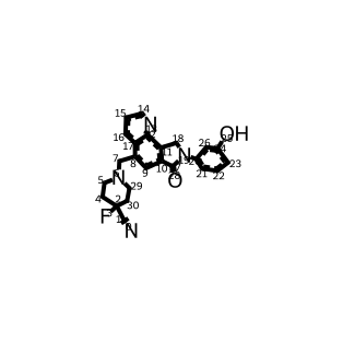 N#CC1(F)CCN(Cc2cc3c(c4ncccc24)CN(c2cccc(O)c2)C3=O)CC1